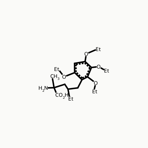 CCOc1cc(OCC)c(OCC)c(OCC)c1CC(CC)CC(C)(N)C(=O)O